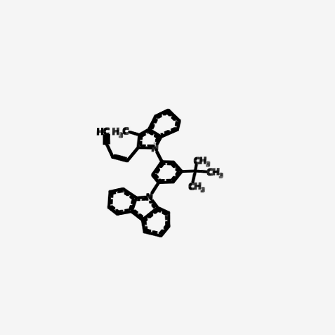 C#C/C=C\c1c(C)c2ccccc2n1-c1cc(-n2c3ccccc3c3ccccc32)cc(C(C)(C)C)c1